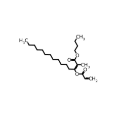 C=CC(=O)OC(CCCCCCCCCCCC)=C(C)C(=O)OCCCC